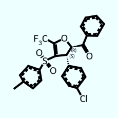 Cc1ccc(S(=O)(=O)C2=C(C(F)(F)F)O[C@@H](C(=O)c3ccccc3)[C@@H]2c2ccc(Cl)cc2)cc1